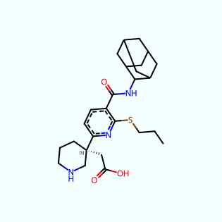 CCCSc1nc([C@]2(CC(=O)O)CCCNC2)ccc1C(=O)NC1C2CC3CC(C2)CC1C3